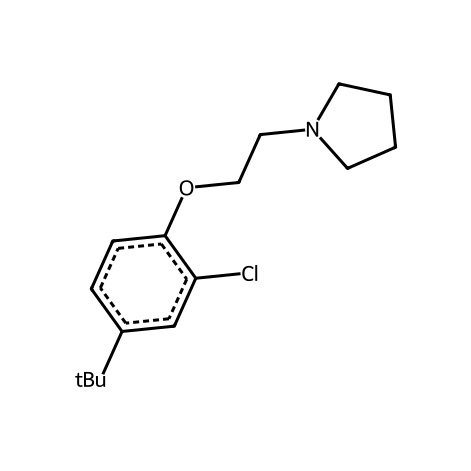 CC(C)(C)c1ccc(OCCN2CCCC2)c(Cl)c1